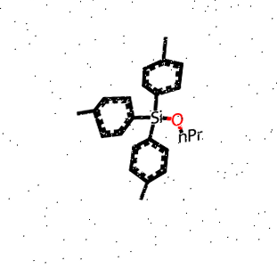 CCCO[Si](c1ccc(C)cc1)(c1ccc(C)cc1)c1ccc(C)cc1